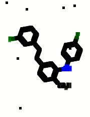 O=C(O)c1ccc(CCc2cccc(F)c2)cc1Nc1ccc(F)cc1